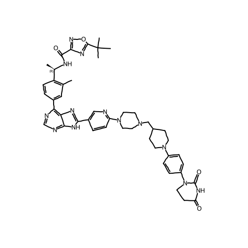 Cc1cc(-c2ncnc3[nH]c(-c4ccc(N5CCN(CC6CCN(c7ccc(N8CCC(=O)NC8=O)cc7)CC6)CC5)nc4)nc23)ccc1[C@@H](C)NC(=O)c1noc(C(C)(C)C)n1